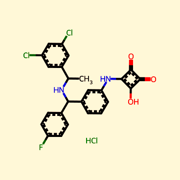 CC(NC(c1ccc(F)cc1)c1cccc(Nc2c(O)c(=O)c2=O)c1)c1cc(Cl)cc(Cl)c1.Cl